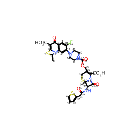 CC1Sc2c(C(=O)O)c(=O)c3cc(F)c(N4CCN(C(=O)OCC5=C(C(=O)O)N6C(=O)[C@@H](NC(=O)Cc7cccs7)[C@H]6SC5)CC4)cc3n21